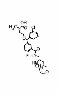 CNC(CNC(=O)c1cc(C(OCCN(C)C(=O)O)c2cccc(Cl)c2)ccc1F)CC1CCCOC1